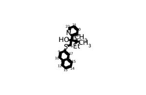 CCC(C)(C)C(O)(CSc1ccc2ccccc2c1)c1ccccn1